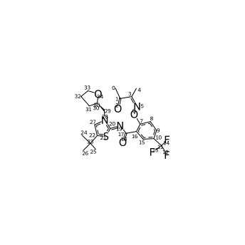 CC(=O)C(C)=NOc1ccc(C(F)(F)F)cc1C(=O)N=c1sc(C(C)(C)C)cn1C[C@H]1CCCO1